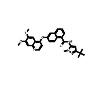 COc1cc2nccc(Oc3ccc4c(C(=O)Nc5cc(C(C)(C)C)nn5C)cccc4c3)c2cc1OC